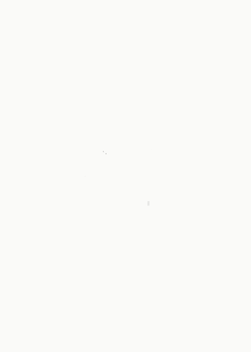 CC(C)Oc1cc(Cl)ncc1C(=O)O